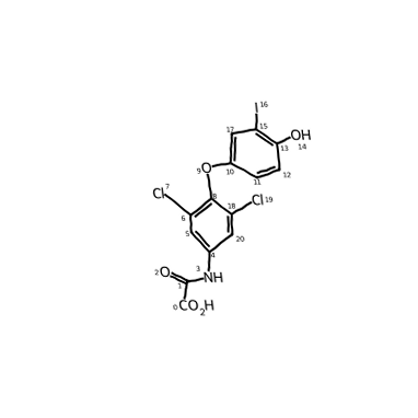 O=C(O)C(=O)Nc1cc(Cl)c(Oc2ccc(O)c(I)c2)c(Cl)c1